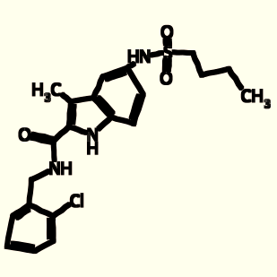 CCCCS(=O)(=O)Nc1ccc2[nH]c(C(=O)NCc3ccccc3Cl)c(C)c2c1